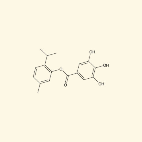 Cc1ccc(C(C)C)c(OC(=O)c2cc(O)c(O)c(O)c2)c1